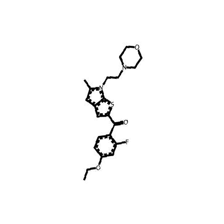 CCOc1ccc(C(=O)c2cc3cc(C)n(CCN4CCOCC4)c3s2)c(F)c1